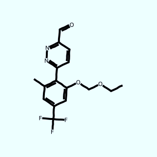 CCOCOc1cc(C(F)(F)F)cc(C)c1-c1ccc(C=O)nn1